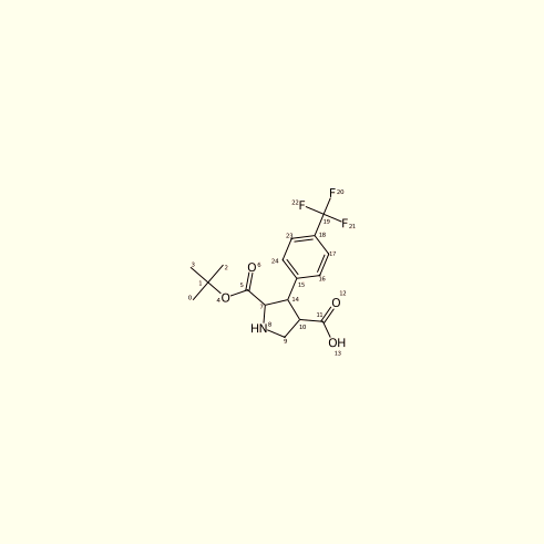 CC(C)(C)OC(=O)C1NCC(C(=O)O)C1c1ccc(C(F)(F)F)cc1